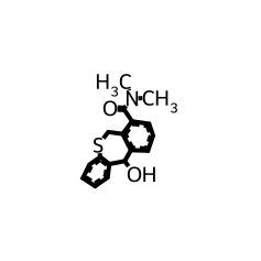 CN(C)C(=O)c1cccc2c1CSc1ccccc1C2O